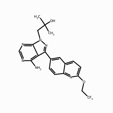 CC(C)(O)Cn1nc(-c2ccc3nc(OCC(F)(F)F)ccc3c2)c2c(N)ncnc21